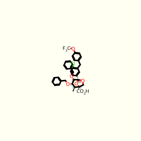 C[C@H]1[C@H](OCc2ccccc2)[C@@H](OCc2ccccc2)[C@@]2(c3ccc(Cl)c(Cc4ccc(OC(F)(F)F)cc4)c3)OC[C@]1(C(=O)O)O2